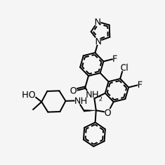 CC1(O)CCC(NC[C@@]2(c3ccccc3)Cc3c(cc(F)c(Cl)c3-c3c(C(N)=O)ccc(-n4ccnc4)c3F)O2)CC1